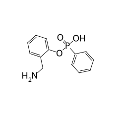 NCc1ccccc1OP(=O)(O)c1ccccc1